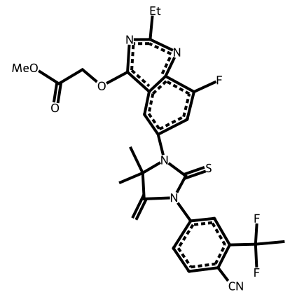 C=C1N(c2ccc(C#N)c(C(C)(F)F)c2)C(=S)N(c2cc(F)c3nc(CC)nc(OCC(=O)OC)c3c2)C1(C)C